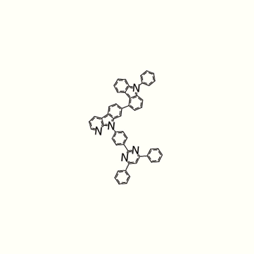 c1ccc(-c2cc(-c3ccccc3)nc(-c3ccc(-n4c5cc(-c6cccc7c6c6ccccc6n7-c6ccccc6)ccc5c5cccnc54)cc3)n2)cc1